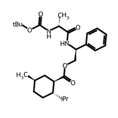 CC(C)[C@@H]1CC[C@@H](C)C[C@H]1C(=O)OC[C@@H](NC(=O)[C@@H](C)NC(=O)OC(C)(C)C)c1ccccc1